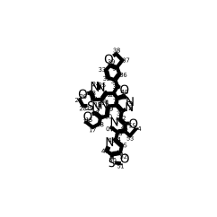 [c]1nc(-c2nnc3c(c2-c2cc4c(nn2)OCCC4)C(c2cc4c(nn2)OCCS4)C(c2ccc4c(c2)CCO4)O3)c2c(c1-c1cc3c(cn1)SCO3)CCO2